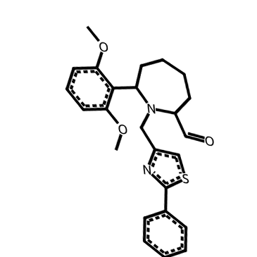 COc1cccc(OC)c1C1CCCCC(C=O)N1Cc1csc(-c2ccccc2)n1